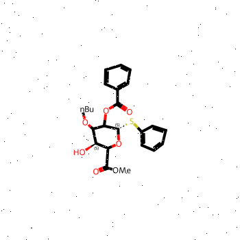 CCCCOC1C(OC(=O)c2ccccc2)[C@H](Sc2ccccc2)OC(C(=O)OC)[C@H]1O